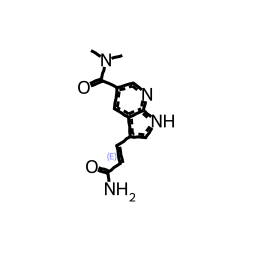 CN(C)C(=O)c1cnc2[nH]cc(/C=C/C(N)=O)c2c1